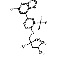 CC(C)CC(C)(C)COc1ccc(-c2cc(Cl)nn3ccnc23)cc1C(F)(F)F